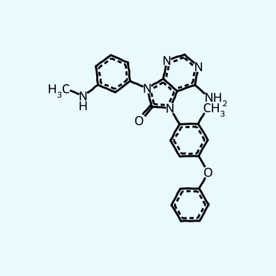 CNc1cccc(-n2c(=O)n(-c3ccc(Oc4ccccc4)cc3C)c3c(N)ncnc32)c1